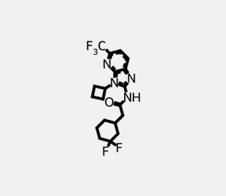 O=C(CC1CCCC(F)(F)C1)Nc1nc2ccc(C(F)(F)F)nc2n1C1CCC1